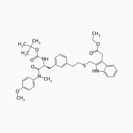 CCOC(=O)Cc1c(CSCCc2cccc(C[C@H](NC(=O)OC(C)(C)C)C(=O)N(C)c3ccc(OC)cc3)c2)[nH]c2ccccc12